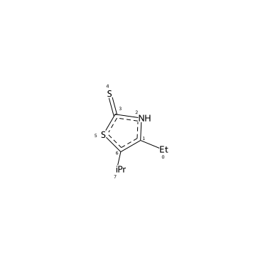 CCc1[nH]c(=S)sc1C(C)C